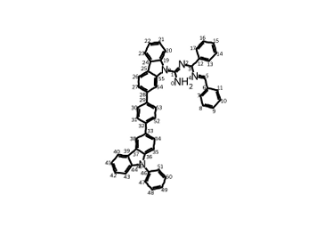 N/C(=N\C(/N=C/c1ccccc1)c1ccccc1)n1c2ccccc2c2ccc(-c3ccc(-c4ccc5c(c4)c4ccccc4n5-c4ccccc4)cc3)cc21